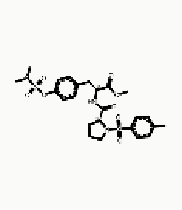 COC(=O)[C@H](Cc1ccc(OS(=O)(=O)N(C)C)cc1)NC(=O)[C@@H]1CCCN1S(=O)(=O)c1ccc(C)cc1